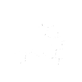 CC(NC(=O)C(OCCOc1ccccc1)C(C)C)c1ccc(C(=O)O)cc1